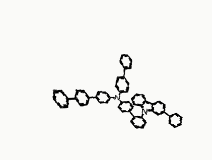 c1ccc(-c2ccc(-c3ccc(N(c4ccc(-c5ccccc5)cc4)c4ccc(-c5ccccc5-n5c6ccccc6c6ccc(-c7ccccc7)cc65)cc4)cc3)cc2)cc1